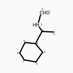 [CH2]C(NC=O)C1CCCCC1